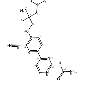 CC(C)CC(C)(N)COc1ccc(-c2ccnc(OC(N)=O)n2)cc1C#N